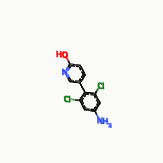 Nc1cc(Cl)c(-c2ccc(O)nc2)c(Cl)c1